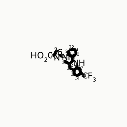 N=C(/C(=C\Nc1nc(C(=O)O)cs1)Cc1ccc(C(F)(F)F)cc1)c1ccccc1